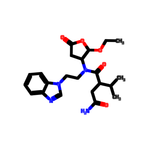 CCOC1OC(=O)CC1N(CCn1cnc2ccccc21)C(=O)C(CC(N)=O)C(C)C